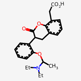 CCN(CC)C(C)Oc1ccccc1C1Cc2cccc(CC(=O)O)c2OC1=O